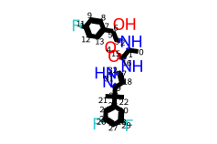 CC(NC(=O)C(O)c1ccc(F)cc1)C(=O)Nc1cc(C(C)(C)c2cc(F)cc(F)c2)n[nH]1